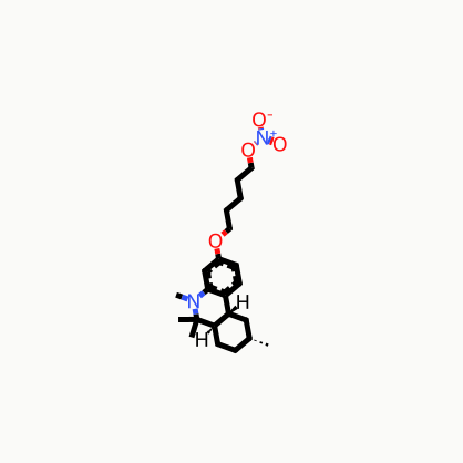 C[C@@H]1CC[C@@H]2[C@@H](C1)c1ccc(OCCCCCO[N+](=O)[O-])cc1N(C)C2(C)C